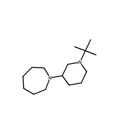 CC(C)(C)N1CCCC(N2CCCCCC2)C1